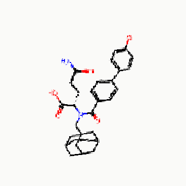 NC(=O)CC[C@@H](C(=O)O)N(CC12CC3CC(CC(C3)C1)C2)C(=O)c1ccc(-c2ccc(O)cc2)cc1